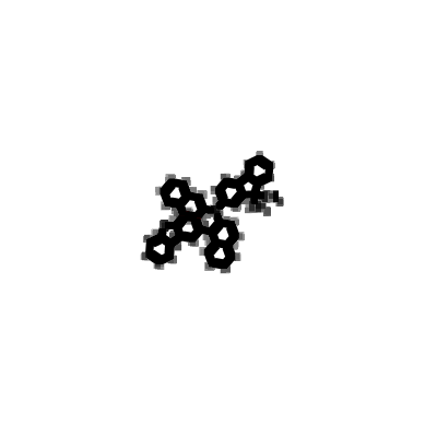 CC1(C)c2ccccc2-c2ccc(N(c3ccc4ccccc4c3)c3ccc4ccccc4c3-c3ccc4sc5ccccc5c4c3)cc21